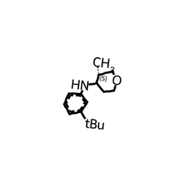 C[C@@H]1COCCC1Nc1cccc(C(C)(C)C)c1